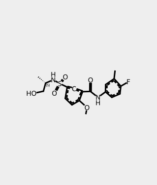 COc1ccc(S(=O)(=O)N[C@@H](C)CO)cc1C(=O)Nc1ccc(F)c(C)c1